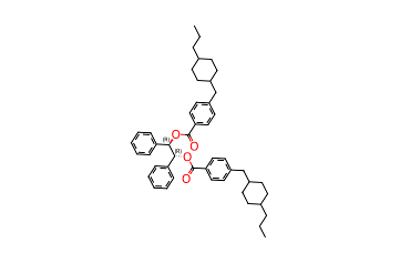 CCCC1CCC(Cc2ccc(C(=O)O[C@H](c3ccccc3)[C@H](OC(=O)c3ccc(CC4CCC(CCC)CC4)cc3)c3ccccc3)cc2)CC1